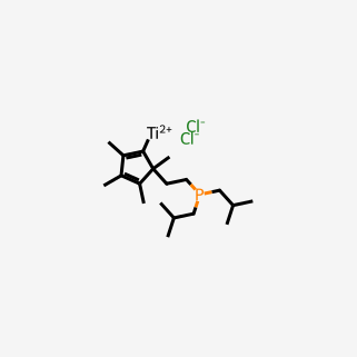 CC1=C(C)C(C)(CCP(CC(C)C)CC(C)C)[C]([Ti+2])=C1C.[Cl-].[Cl-]